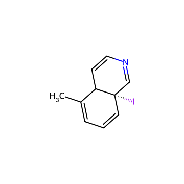 CC1=CC=C[C@]2(I)C=NC=CC12